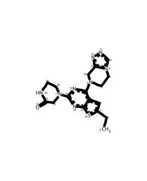 CCc1cc2c(N3CCn4cnnc4C3)nc(N3CCNC(=O)C3)nc2s1